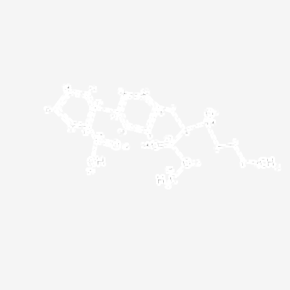 CCCCC(=O)C(Cc1ccc(-c2ccccc2C(=O)O)cc1)C(=O)OC